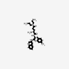 NCCN(CCN)C(=O)CC[C@@H](N)C(=O)N[C@H](Cc1ccc(C(F)(F)F)cc1)C(=O)Nc1cnc2ccccc2c1